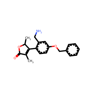 CC1=C(c2ccc(OCc3ccccc3)cc2CN)C(C)OC1=O